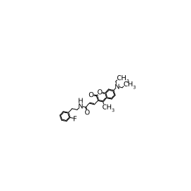 CCN(CC)c1ccc2c(C)c(C=CC(=O)NCCc3ccccc3F)c(=O)oc2c1